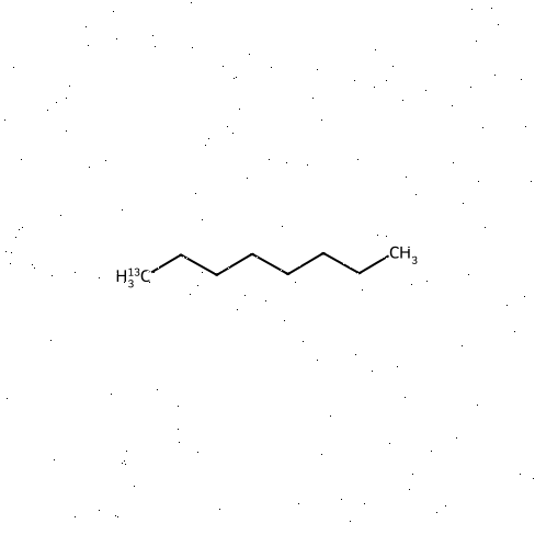 CCCCCCC[13CH3]